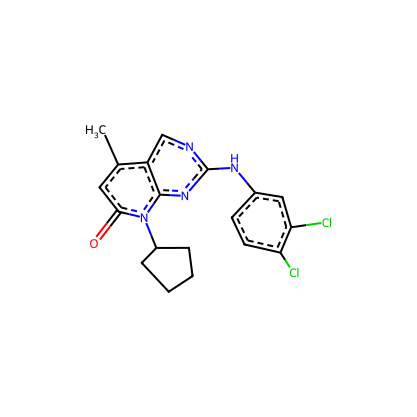 Cc1cc(=O)n(C2CCCC2)c2nc(Nc3ccc(Cl)c(Cl)c3)ncc12